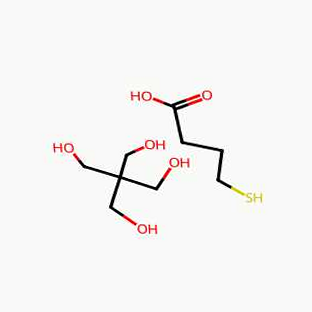 O=C(O)CCCS.OCC(CO)(CO)CO